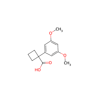 COc1cc(OC)cc(C2(C(=O)O)CCC2)c1